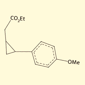 CCOC(=O)CC1CC1c1ccc(OC)cc1